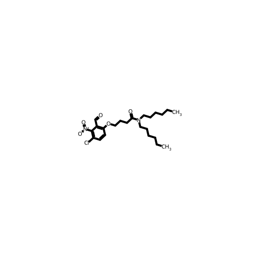 CCCCCCN(CCCCCC)C(=O)CCCOc1ccc(Cl)c([N+](=O)[O-])c1C=O